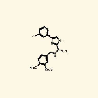 COc1ccc(CNC(C)c2nc(-c3cccc(Br)c3)c[nH]2)cc1OC